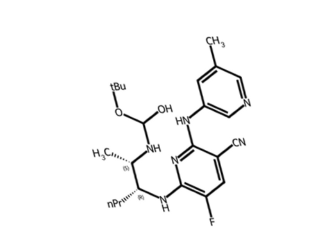 CCC[C@@H](Nc1nc(Nc2cncc(C)c2)c(C#N)cc1F)[C@H](C)NC(O)OC(C)(C)C